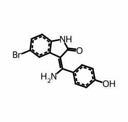 NC(=C1C(=O)Nc2ccc(Br)cc21)c1ccc(O)cc1